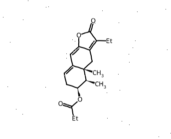 CCC(=O)O[C@H]1CC=C2C=C3OC(=O)C(CC)=C3C[C@]2(C)[C@H]1C